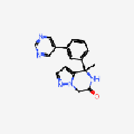 CC1(c2cccc(-c3cncnc3)c2)NC(=O)Cn2nccc21